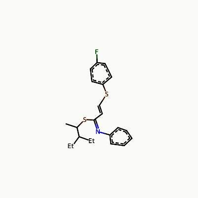 CCC(CC)C(C)SC(C=CSc1ccc(F)cc1)=Nc1ccccc1